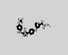 CNC(=O)c1cc(Oc2ccc(-c3nnc(Nc4ccc(OC(F)(F)F)cc4)[nH]3)cc2)ccn1